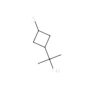 CC(C)(O)C1CC(N)C1